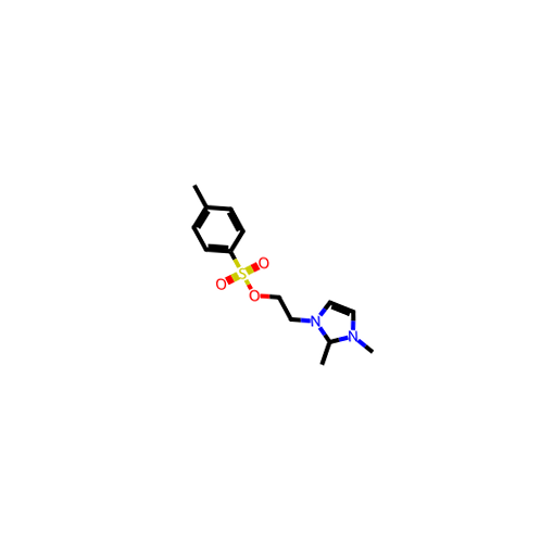 Cc1ccc(S(=O)(=O)OCCN2C=CN(C)C2C)cc1